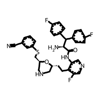 N#Cc1cccc(SC[C@@H]2CNC[C@@H](CCc3c(F)cncc3NC(=O)[C@@H](N)C(c3ccc(F)cc3)c3ccc(F)cc3)O2)c1